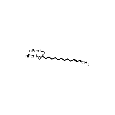 C=C/C=C/CCCCCCCCCC(OCCCCC)OCCCCC